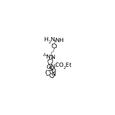 CCOC(=O)CN(c1ccc2c(c1)nc(CCc1ccc(C(=N)N)cc1)n2C1CC1)S(=O)(=O)c1cccc2cccnc12